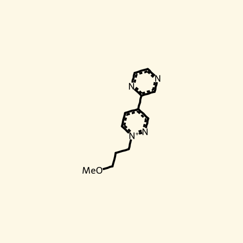 COCCC[n+]1ccc(-c2cnccn2)cn1